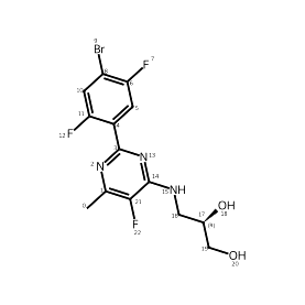 Cc1nc(-c2cc(F)c(Br)cc2F)nc(NC[C@@H](O)CO)c1F